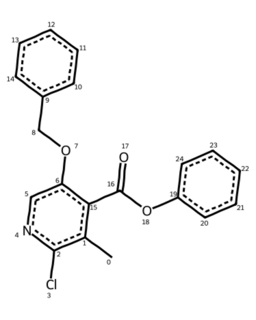 Cc1c(Cl)ncc(OCc2ccccc2)c1C(=O)Oc1ccccc1